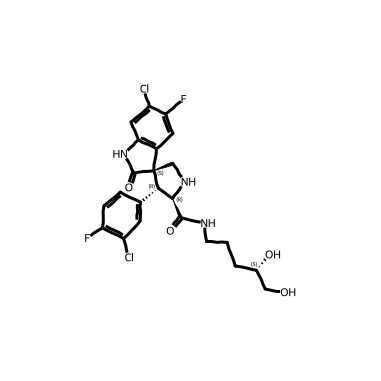 O=C(NCCC[C@H](O)CO)[C@@H]1NC[C@]2(C(=O)Nc3cc(Cl)c(F)cc32)[C@H]1c1ccc(F)c(Cl)c1